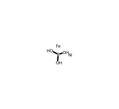 OB(O)O.[Fe].[Ni]